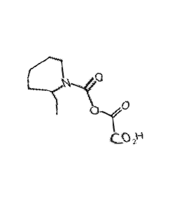 CC1CCCCN1C(=O)OC(=O)C(=O)O